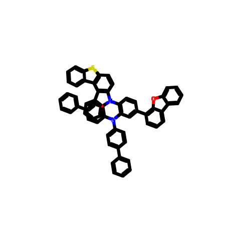 c1ccc(-c2ccc(N(c3ccc(-c4ccccc4)cc3)c3cc(-c4cccc5c4oc4ccccc45)ccc3-n3c4ccccc4c4c5c(ccc43)sc3ccccc35)cc2)cc1